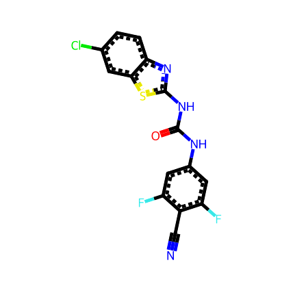 N#Cc1c(F)cc(NC(=O)Nc2nc3ccc(Cl)cc3s2)cc1F